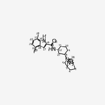 CC(=O)N1C2CCC1CN([C@@H]1CCC[C@@H](NC(=O)c3cc4c(F)ccc(C)c4[nH]3)C1)C2